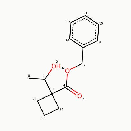 CC(O)C1(C(=O)OCc2ccccc2)CCC1